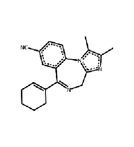 Cc1nc2n(c1C)-c1ccc(C#N)cc1C(C1=CCCCC1)=NC2